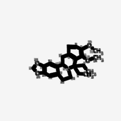 CCC1(CC)c2c(ccc(OC)c2OC)CC2c3cc4c(cc3CCN21)OCO4